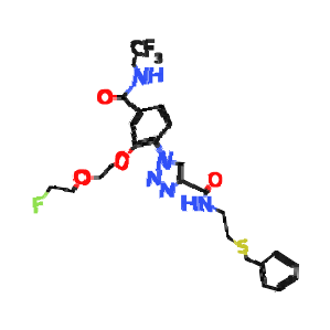 O=C(NCC(F)(F)F)c1ccc(-n2cc(C(=O)NCCSCc3ccccc3)nn2)c(OCCOCCF)c1